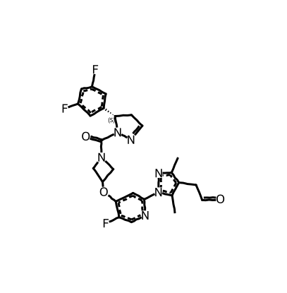 Cc1nn(-c2cc(OC3CN(C(=O)N4N=CC[C@H]4c4cc(F)cc(F)c4)C3)c(F)cn2)c(C)c1CC=O